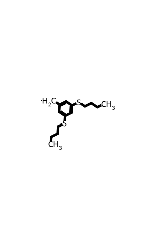 [CH2]c1cc(SCCCC)cc(SCCCC)c1